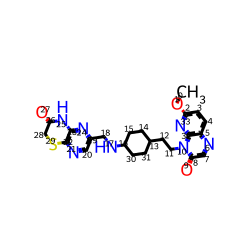 COc1ccc2ncc(=O)n(CCC3CCC(NCc4cnc5c(n4)NC(=O)CS5)CC3)c2n1